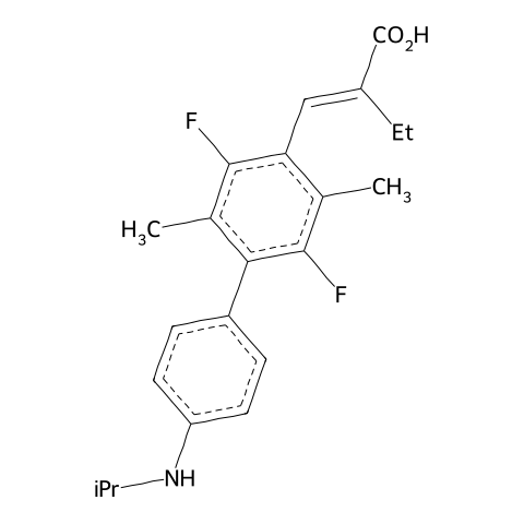 CC/C(=C\c1c(C)c(F)c(-c2ccc(NC(C)C)cc2)c(C)c1F)C(=O)O